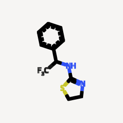 FC(F)(F)C(NC1=NCCS1)c1ccccc1